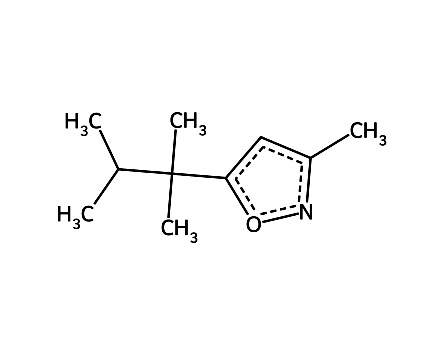 Cc1cc(C(C)(C)C(C)C)on1